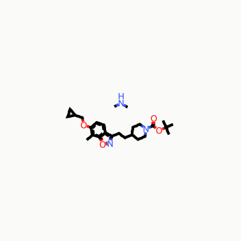 CNC.Cc1c(OCC2CC2)ccc2c(CCC3CCN(C(=O)OC(C)(C)C)CC3)noc12